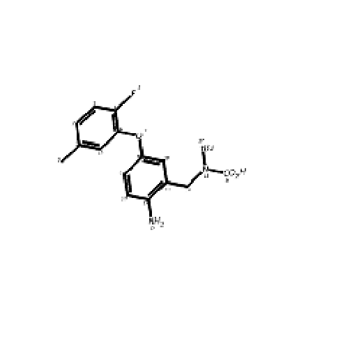 Cc1ccc(F)c(Oc2ccc(N)c(CN(C(=O)O)C(C)(C)C)c2)c1